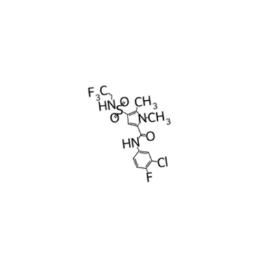 Cc1c(S(=O)(=O)NCC(F)(F)F)cc(C(=O)Nc2ccc(F)c(Cl)c2)n1C